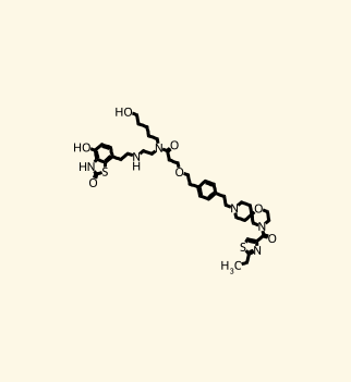 CCc1nc(C(=O)N2CCOC3(CCN(CCc4ccc(CCOCCC(=O)N(CCCCCO)CCNCCc5ccc(O)c6[nH]c(=O)sc56)cc4)CC3)C2)cs1